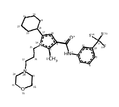 Cc1c(C(=O)Nc2cccc(C(F)(F)F)c2)cc(C2CCCCC2)n1CCCN1CCOCC1